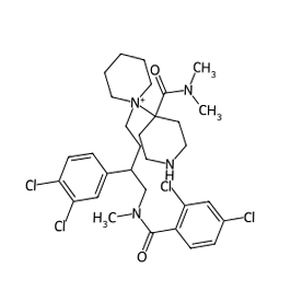 CN(C)C(=O)C1([N+]2(CCC(CN(C)C(=O)c3ccc(Cl)cc3Cl)c3ccc(Cl)c(Cl)c3)CCCCC2)CCNCC1